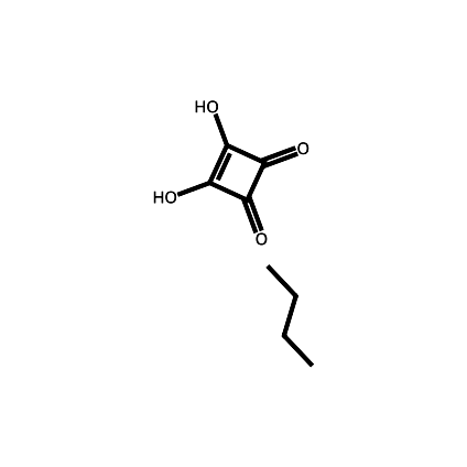 CCCC.O=c1c(O)c(O)c1=O